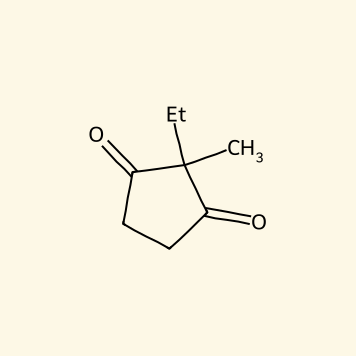 CCC1(C)C(=O)CCC1=O